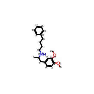 COc1ccc(CC(C)NCCCCc2ccccc2)cc1OC